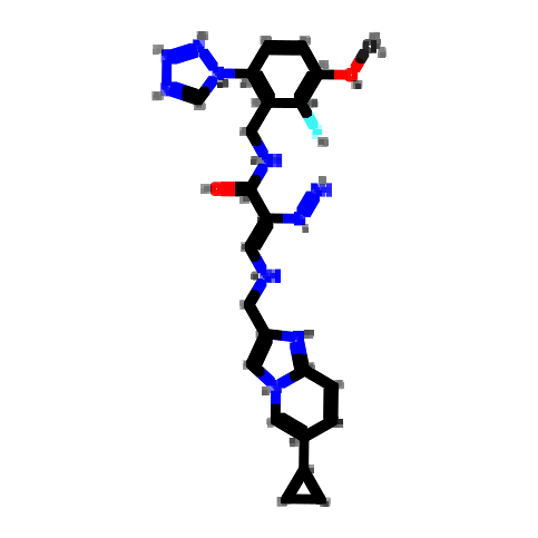 N=N/C(=C\NCc1cn2cc(C3CC3)ccc2n1)C(=O)NCc1c(-n2cnnn2)ccc(OC(F)(F)F)c1F